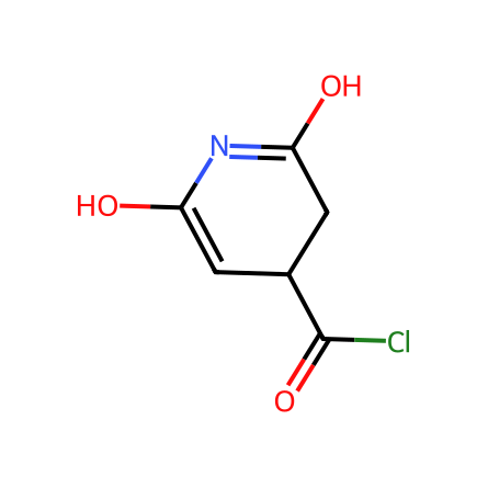 O=C(Cl)C1C=C(O)N=C(O)C1